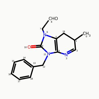 CC1C=Nc2c(n(CC=O)c(=O)n2Cc2ccccc2)C1